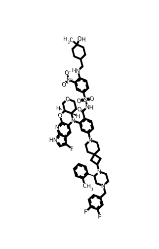 Cc1ccccc1[C@@H]1CN(Cc2ccc(F)c(F)c2)CCN1C1CC2(CCN(c3ccc(C(=O)NS(=O)(=O)c4ccc(NCC5CCC(C)(O)CC5)c([N+](=O)[O-])c4)c(N4c5cc6c(F)c[nH]c6nc5O[C@H]5COCC[C@@H]54)c3)CC2)C1